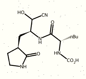 CCCC[C@H](NC(=O)O)C(=O)N[C@@H](C[C@@H]1CCNC1=O)C(O)C#N